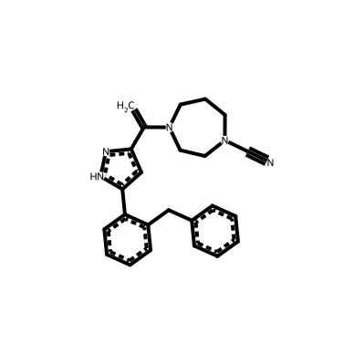 C=C(c1cc(-c2ccccc2Cc2ccccc2)[nH]n1)N1CCCN(C#N)CC1